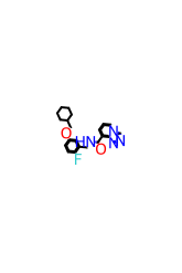 O=C(NCc1cc(OCC2CCCCC2)ccc1F)c1cccn2cnnc12